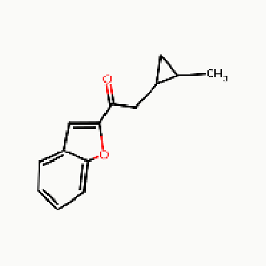 CC1CC1CC(=O)c1cc2ccccc2o1